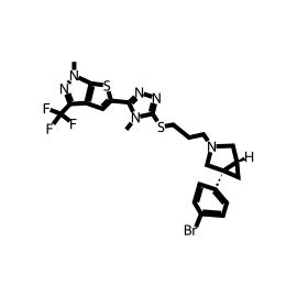 Cn1c(SCCCN2C[C@@H]3C[C@@]3(c3ccc(Br)cc3)C2)nnc1-c1cc2c(C(F)(F)F)nn(C)c2s1